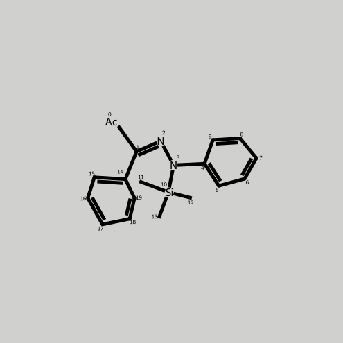 CC(=O)C(=NN(c1ccccc1)[Si](C)(C)C)c1ccccc1